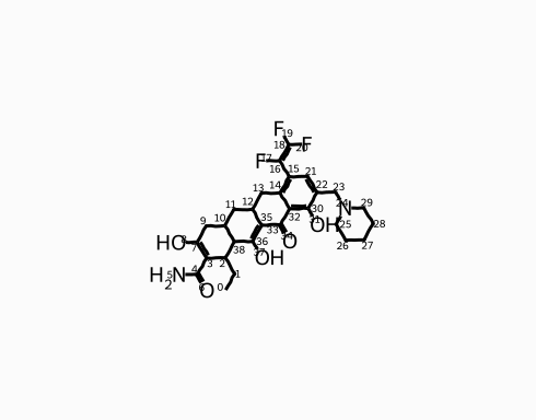 CCC1C(C(N)=O)=C(O)CC2CC3Cc4c(C(F)=C(F)F)cc(CN5CCCCC5)c(O)c4C(=O)C3=C(O)C21